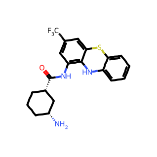 N[C@@H]1CCC[C@H](C(=O)Nc2cc(C(F)(F)F)cc3c2Nc2ccccc2S3)C1